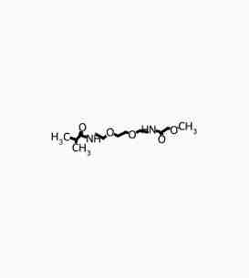 COCC(=O)NCCOCCOCCNC(=O)C(C)C